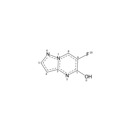 Oc1nc2ccnn2cc1F